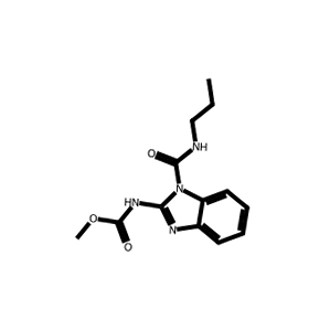 CCCNC(=O)n1c(NC(=O)OC)nc2ccccc21